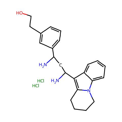 Cl.Cl.NC(CC(N)c1c2n(c3ccccc13)CCCC2)c1cccc(CCO)c1